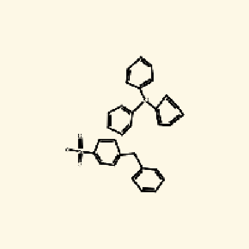 O=S(=O)([O-])c1ccc(Cc2ccccc2)cc1.c1ccc([S+](c2ccccc2)c2ccccc2)cc1